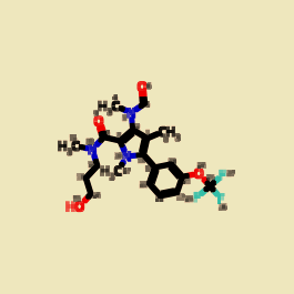 Cc1c(N(C)C=O)c(C(=O)N(C)CCCO)n(C)c1-c1cccc(OC(F)(F)F)c1